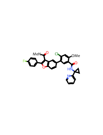 CNC(=O)c1c(-c2ccc(F)cc2)oc2ccc(-c3cc(C(=O)NC4(c5ccccn5)CC4)c(OC)cc3Cl)cc12